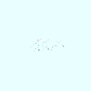 B/C(C#C)=C(N)/C(B)=C(\Cc1c(B)c(C(F)(F)F)c(-c2c(B)c(B)c(N)c(B)c2C(F)(F)F)c(O)c1C(F)(F)F)C(F)(F)F